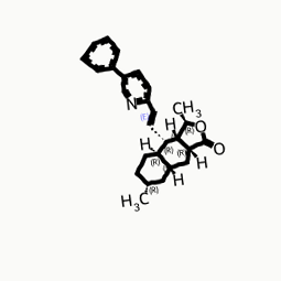 C[C@@H]1CC[C@@H]2[C@@H](C1)C[C@H]1C(=O)O[C@H](C)[C@H]1[C@H]2/C=C/c1ccc(-c2ccccc2)cn1